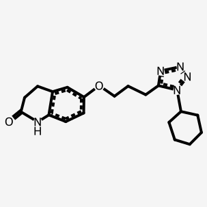 O=C1CCc2cc(OCCCc3nnnn3C3CCCCC3)ccc2N1